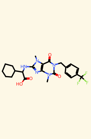 Cn1c(NC(C(=O)O)C2CCCCC2)nc2c1c(=O)n(Cc1ccc(C(F)(F)F)cc1)c(=O)n2C